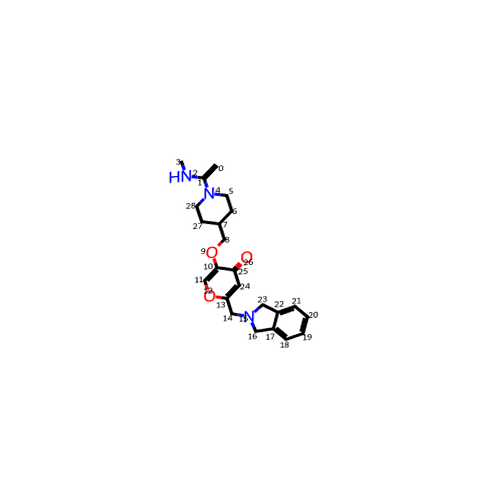 C=C(NC)N1CCC(COc2coc(CN3Cc4ccccc4C3)cc2=O)CC1